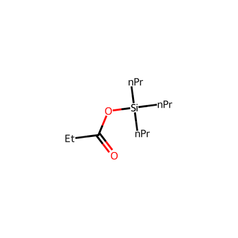 [CH2]CC(=O)O[Si](CCC)(CCC)CCC